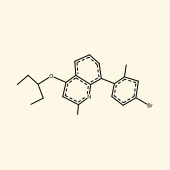 CCC(CC)Oc1cc(C)nc2c(-c3ccc(Br)cc3C)cccc12